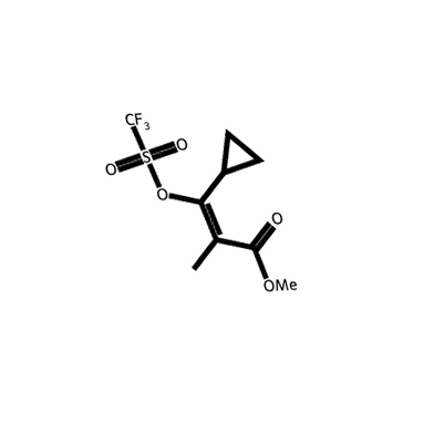 COC(=O)/C(C)=C(/OS(=O)(=O)C(F)(F)F)C1CC1